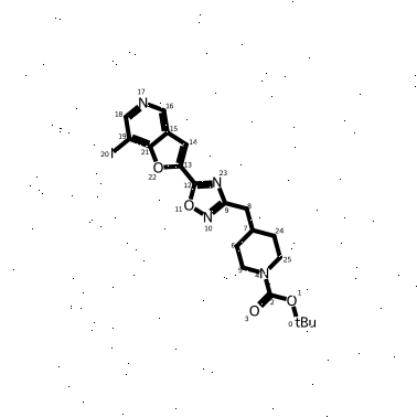 CC(C)(C)OC(=O)N1CCC(Cc2noc(-c3cc4cncc(I)c4o3)n2)CC1